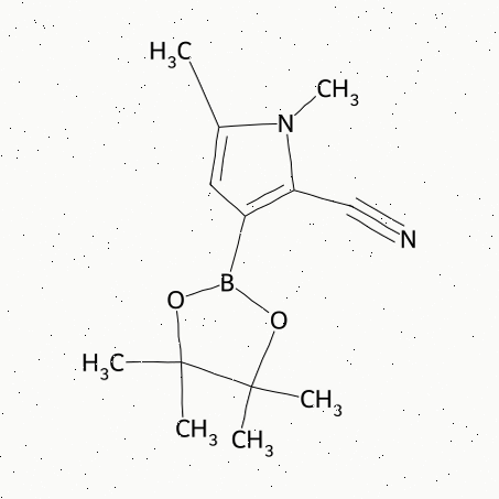 Cc1cc(B2OC(C)(C)C(C)(C)O2)c(C#N)n1C